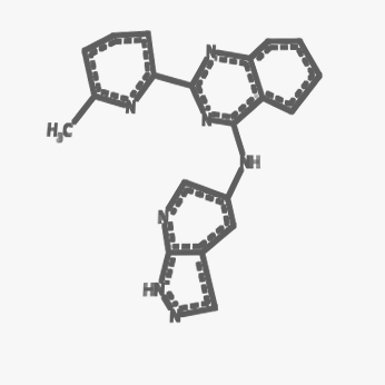 Cc1cccc(-c2nc(Nc3cnc4[nH]ncc4c3)c3ccccc3n2)n1